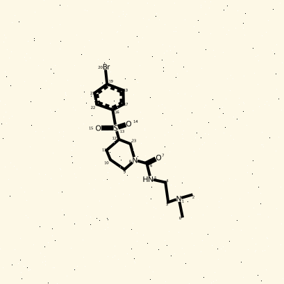 CN(C)CCNC(=O)N1CCCC(S(=O)(=O)c2ccc(Br)cc2)C1